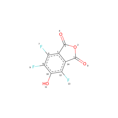 O=C1OC(=O)c2c(F)c(F)c(O)c(F)c21